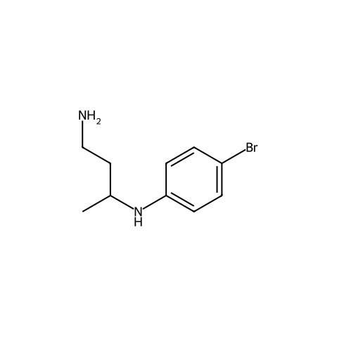 CC(CCN)Nc1ccc(Br)cc1